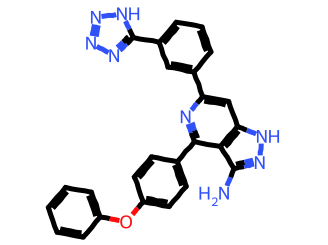 Nc1n[nH]c2cc(-c3cccc(-c4nnn[nH]4)c3)nc(-c3ccc(Oc4ccccc4)cc3)c12